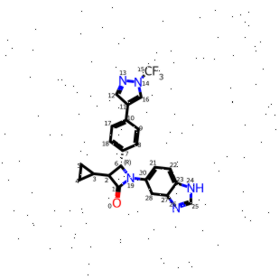 O=C1C(C2CC2)[C@H](c2ccc(-c3cnn(C(F)(F)F)c3)cc2)N1C1=CC=C2NC=NC2C1